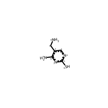 NCc1cnc(S)nc1N